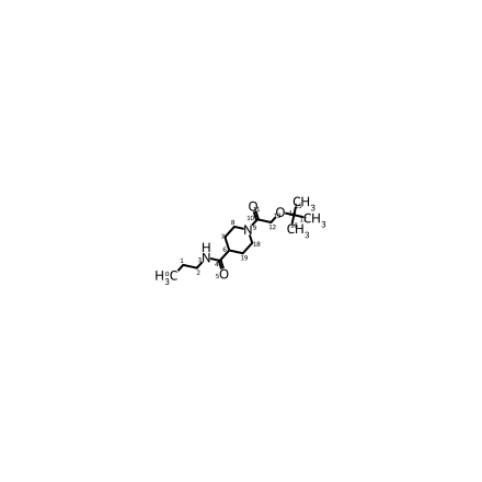 CCCNC(=O)C1CCN(C(=O)COC(C)(C)C)CC1